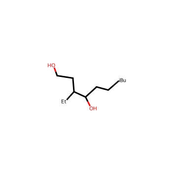 CCC(C)CCC(O)C(CC)CCO